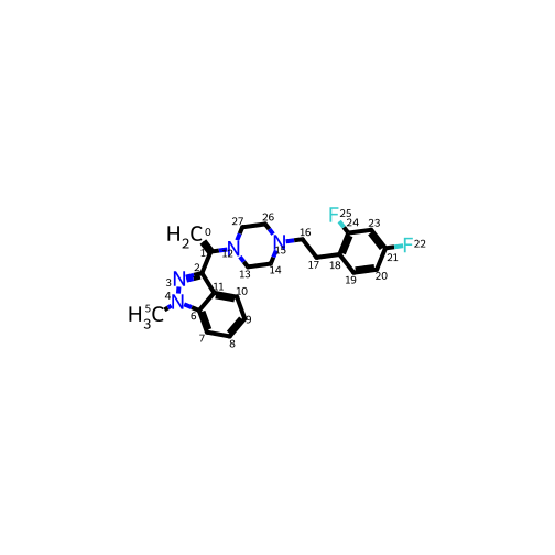 C=C(c1nn(C)c2ccccc12)N1CCN(CCc2ccc(F)cc2F)CC1